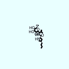 C=C(C)[C@@H](NC(=O)[C@@H]1C[C@@H](CCCC)CN1)[C@H]1O[C@H](SC)[C@H](O)[C@@H](O)[C@H]1O